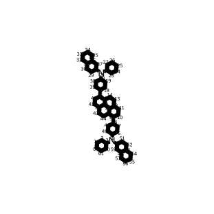 c1ccc(N(c2ccc(-c3ccc4ccc5c(-c6ccc(N(c7ccccc7)c7ccc8ccccc8c7)cc6)ccc6ccc3c4c65)cc2)c2ccc3ccccc3c2)cc1